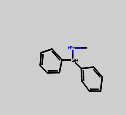 CN[SiH](c1ccccc1)c1ccccc1